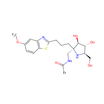 CCC(=O)NC[C@@]1(CCCc2nc3cc(OC(F)(F)F)ccc3s2)N[C@H](CO)[C@@H](O)[C@@H]1O